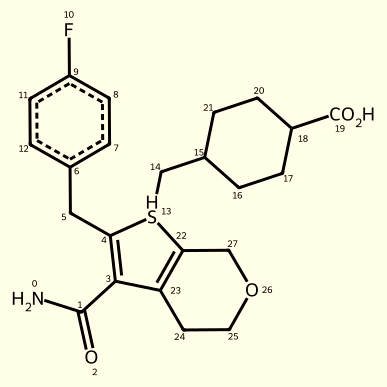 NC(=O)C1=C(Cc2ccc(F)cc2)[SH](CC2CCC(C(=O)O)CC2)C2=C1CCOC2